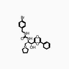 O=C(NCc1ccc(Br)cc1)N[C@H](CN1CCCC1)[C@@H](O)C1=COC=C(C2=CC=CCC2)O1